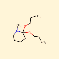 CCCOC1(OCCC)CCCCN1C